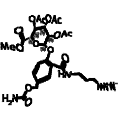 COC(=O)[C@H]1O[C@@H](Oc2ccc(COC(N)=O)cc2C(=O)NCCCN=[N+]=[N-])[C@H](OC(C)=O)[C@@H](OC(C)=O)[C@@H]1OC(C)=O